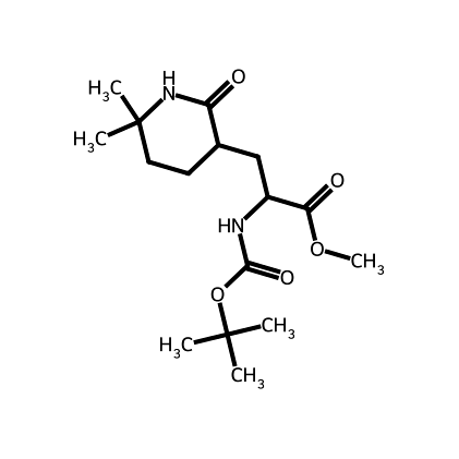 COC(=O)C(CC1CCC(C)(C)NC1=O)NC(=O)OC(C)(C)C